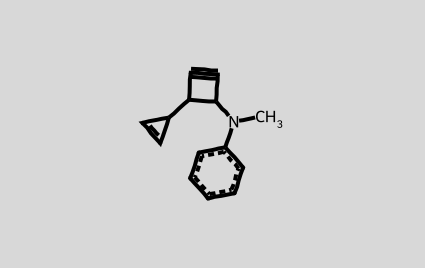 CN(c1ccccc1)C1C#CC1C1C=C1